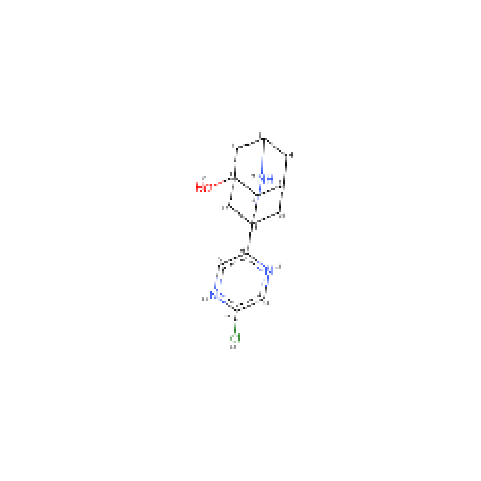 OC12CC3CC(C1)NC(c1cnc(Cl)cn1)(C3)C2